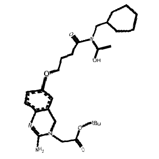 CC(O)N(CC1CCCCC1)C(=O)CCCOc1ccc2c(c1)CN(CC(=O)OC(C)(C)C)C(N)=N2